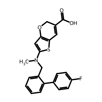 CN(Cc1ccccc1-c1ccc(F)cc1)c1cc2c(s1)C=C(C(=O)O)CO2